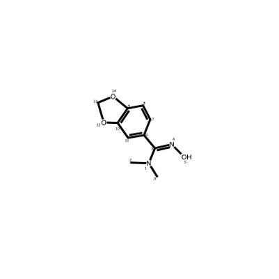 CN(C)/C(=N\O)c1ccc2c(c1)OCO2